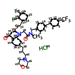 CN(Cc1ccc(-c2ccc(C(F)(F)F)cc2)cc1)C(=O)Cn1c(SCc2cccc(F)c2F)cc(=O)c2ccc(CCCN3CCOCC3)cc21.Cl